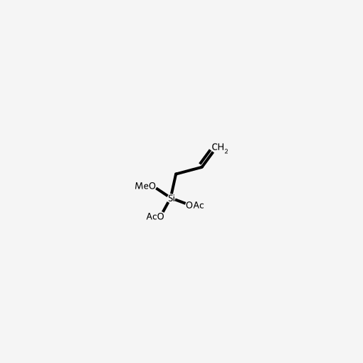 C=CC[Si](OC)(OC(C)=O)OC(C)=O